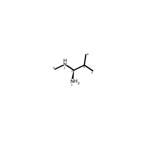 CN[C@H](N)C(C)C